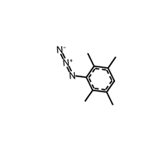 Cc1cc(C)c(C)c(N=[N+]=[N-])c1C